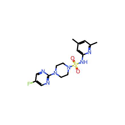 Cc1cc(C)nc(NS(=O)(=O)N2CCN(c3ncc(F)cn3)CC2)c1